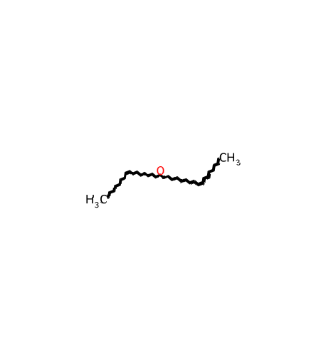 CCCCCCCC/C=C\CCCCCCCCC(=O)CCCCCCC/C=C\CCCCCCCC